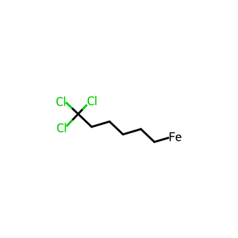 ClC(Cl)(Cl)CCCC[CH2][Fe]